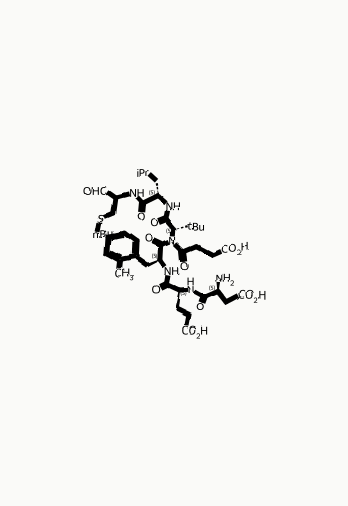 CCCCSCC(C=O)NC(=O)[C@H](CC(C)C)NC(=O)[C@@H](N(C(=O)CCC(=O)O)C(=O)[C@H](Cc1ccccc1C)NC(=O)[C@H](CCC(=O)O)NC(=O)[C@@H](N)CC(=O)O)C(C)(C)C